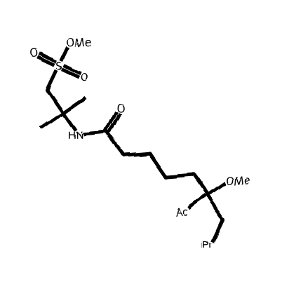 COC(CCCCC(=O)NC(C)(C)CS(=O)(=O)OC)(CC(C)C)C(C)=O